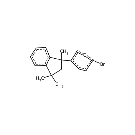 CC1(C)CC(C)(c2ccc(Br)cc2)c2ccccc21